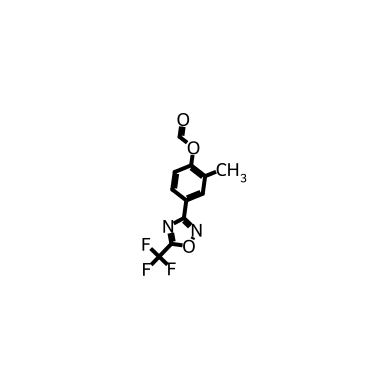 Cc1cc(-c2noc(C(F)(F)F)n2)ccc1OC=O